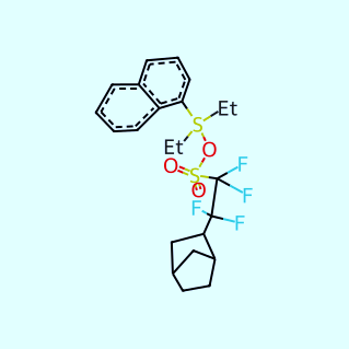 CCS(CC)(OS(=O)(=O)C(F)(F)C(F)(F)C1CC2CCC1C2)c1cccc2ccccc12